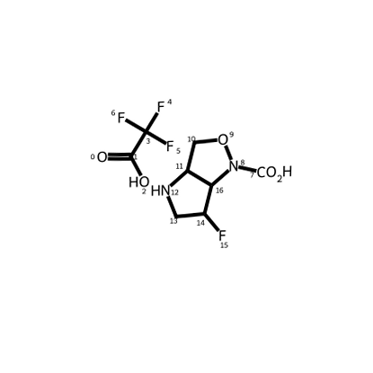 O=C(O)C(F)(F)F.O=C(O)N1OCC2NCC(F)C21